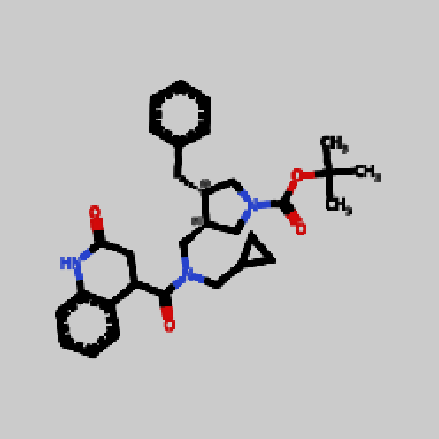 CC(C)(C)OC(=O)N1C[C@@H](Cc2ccccc2)[C@H](CN(CC2CC2)C(=O)C2CC(=O)Nc3ccccc32)C1